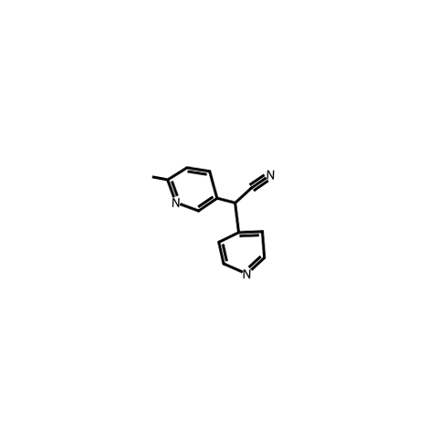 Cc1ccc(C(C#N)c2ccncc2)cn1